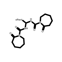 CCCCCC(NC(=O)N1CCCCCC1=O)NC(=O)N1CCCCCC1=O